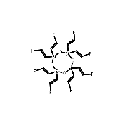 FC=C[Si]1(C=CF)O[Si](C=CF)(C=CF)O[Si](C=CF)(C=CF)O[Si](C=CF)(C=CF)O1